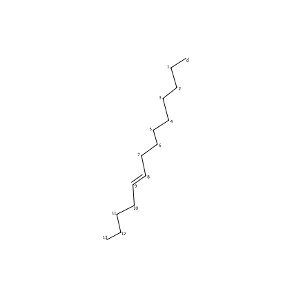 [CH2]CCCCCCC/C=C/CCCC